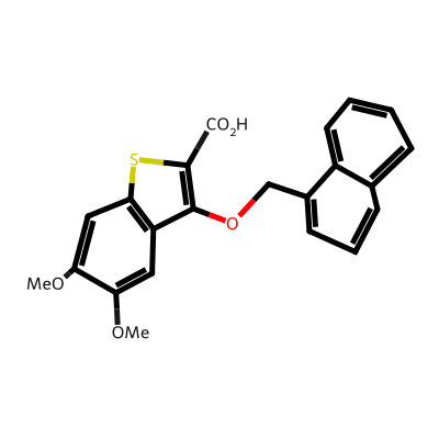 COc1cc2sc(C(=O)O)c(OCc3cccc4ccccc34)c2cc1OC